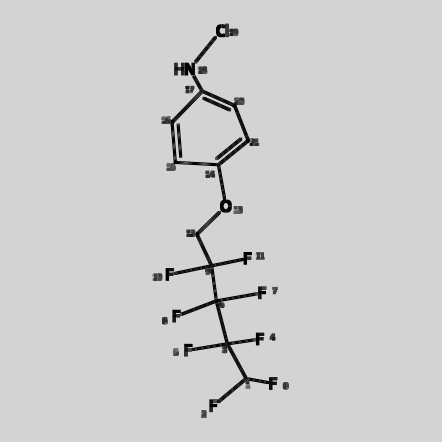 FC(F)C(F)(F)C(F)(F)C(F)(F)COc1ccc(NCl)cc1